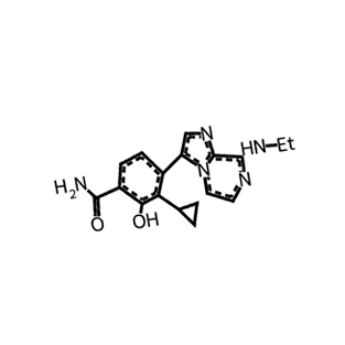 CCNc1nccn2c(-c3ccc(C(N)=O)c(O)c3C3CC3)cnc12